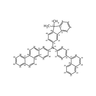 CC1(C)c2ccccc2-c2cc(N(c3ccc(-c4cccc5ccccc45)cc3)c3ccc4c(ccc5c6ccccc6ccc45)c3)ccc21